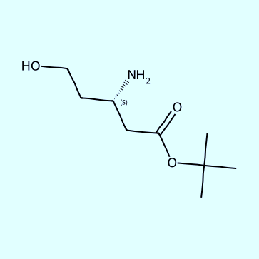 CC(C)(C)OC(=O)C[C@@H](N)CCO